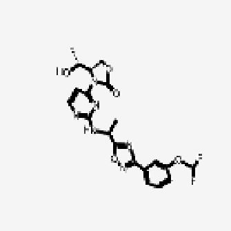 CC(Nc1nccc(N2C(=O)OC[C@@H]2[C@@H](C)O)n1)c1nc(-c2cccc(OC(F)F)c2)no1